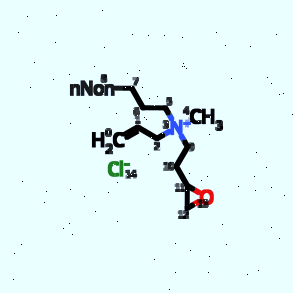 C=CC[N+](C)(CCCCCCCCCCCC)CCC1CO1.[Cl-]